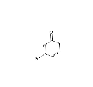 CC(C)C1=NC(=O)CC=C1